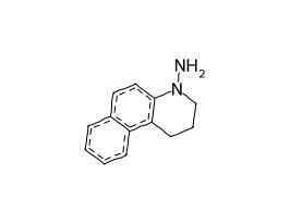 NN1CCCc2c1ccc1ccccc21